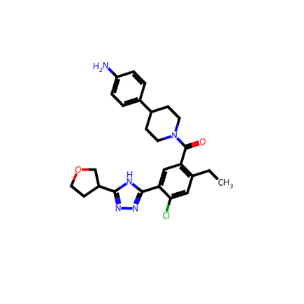 CCc1cc(Cl)c(-c2nnc(C3CCOC3)[nH]2)cc1C(=O)N1CCC(c2ccc(N)cc2)CC1